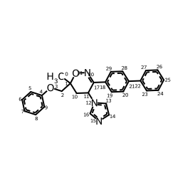 CC1(COc2ccccc2)CC(n2ccnc2)C(c2ccc(-c3ccccc3)cc2)=NO1